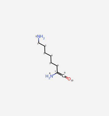 NCCCCCCC(N)=C=O